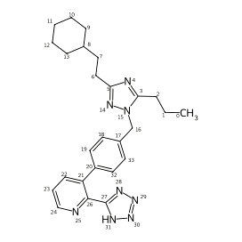 CCCc1nc(CCC2CCCCC2)nn1Cc1ccc(-c2cccnc2-c2nnn[nH]2)cc1